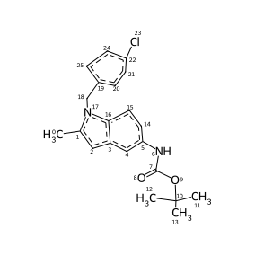 Cc1cc2cc(NC(=O)OC(C)(C)C)ccc2n1Cc1ccc(Cl)cc1